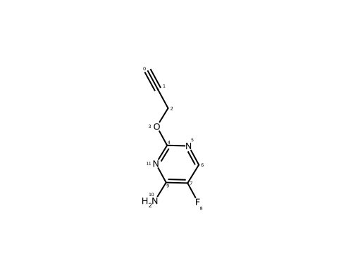 C#CCOc1ncc(F)c(N)n1